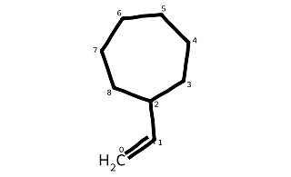 C=[C]C1CCCCCC1